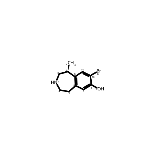 C[C@@H]1CNCCc2cc(O)c(Br)cc21